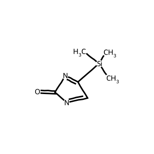 C[Si](C)(C)C1=NC(=O)N=C1